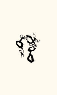 O=C(c1cccc(OC(F)(F)F)c1)N1CCC(CS(=O)(=O)N2CC=C(c3ccccc3)CC2)(C(=O)O)CC1